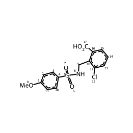 COc1ccc(S(=O)(=O)NCc2c(Cl)cccc2C(=O)O)cc1